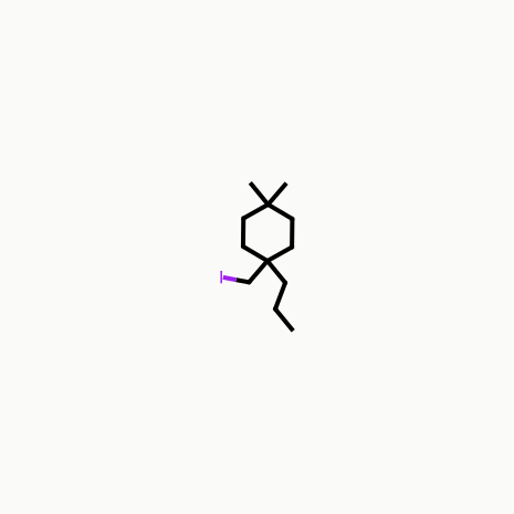 CCCC1(CI)CCC(C)(C)CC1